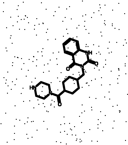 O=C(C1CCC(Cn2c(=O)[nH]c3ccccc3c2=O)CC1)N1CCNCC1